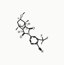 CO[C@@H]1C[C@]2(C)O[C@@]1(C)[C@H]1C(=O)N(c3ccc(C#N)c(C(F)(F)F)c3)C(=O)[C@H]12